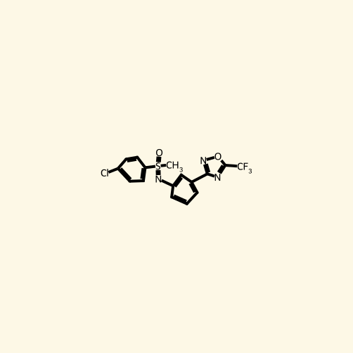 CS(=O)(=Nc1cccc(-c2noc(C(F)(F)F)n2)c1)c1ccc(Cl)cc1